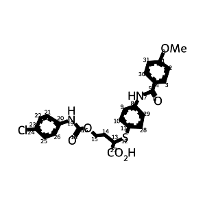 COc1ccc(C(=O)Nc2ccc(SC(CCOC(=O)Nc3ccc(Cl)cc3)C(=O)O)cc2)cc1